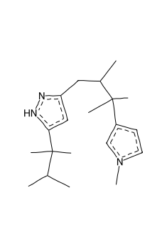 CC(C)C(C)(C)c1cc(CC(C)C(C)(C)c2ccn(C)c2)n[nH]1